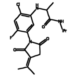 CC(C)=C1CC(=O)N(c2cc(NC(C)C(=O)NC(C)C)c(Cl)cc2F)C1=O